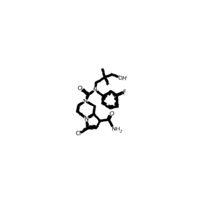 CC(C)(CO)CN(C(=O)N1CCN2C(Cl)=CC(C(N)=O)C2C1)c1cccc(F)c1